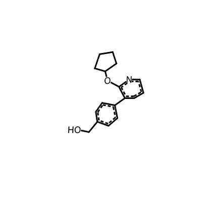 OCc1ccc(-c2cccnc2OC2CCCC2)cc1